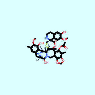 COc1cc2c(cc1O)CCN[C@]21CS[C@H]2[C@H]3[C@H]4c5c(cc(C)c(OC)c5O)C[C@H]([C@H](O)N3Cc3c5c(c(C)c(OC(C)=O)c3C2(C)OC1=O)OCO5)N4C